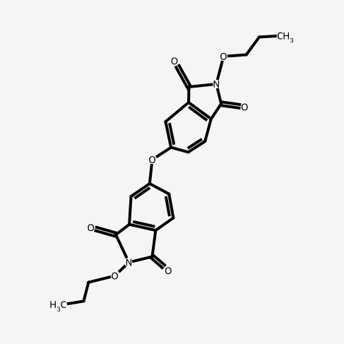 CCCON1C(=O)c2ccc(Oc3ccc4c(c3)C(=O)N(OCCC)C4=O)cc2C1=O